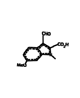 COc1ccc2c(C=O)c(C(=O)O)n(C)c2c1